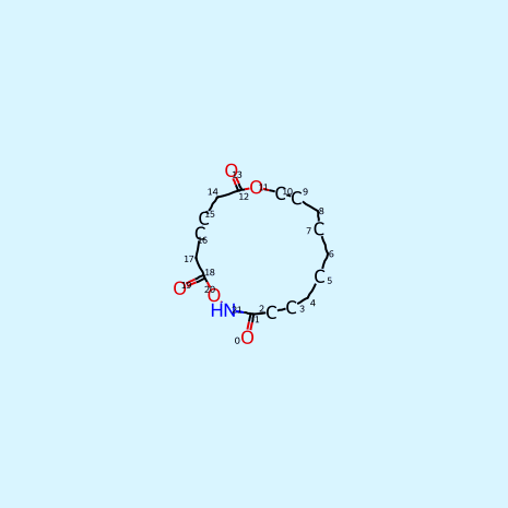 O=C1CCCCCCCCCOC(=O)CCCCC(=O)ON1